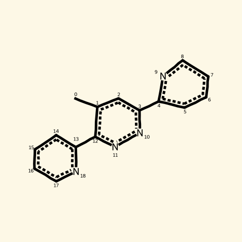 Cc1cc(-c2ccccn2)nnc1-c1ccccn1